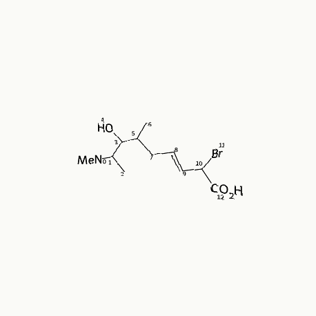 CNC(C)C(O)C(C)CC=CC(Br)C(=O)O